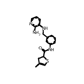 CC1=CSC(C(=O)Nc2cccc(CNc3cccnc3N)c2)C1